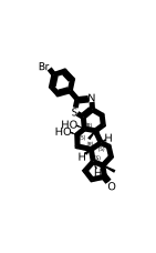 C[C@]12CC[C@H]3[C@@H](C[C@H](O)[C@@]4(O)c5sc(-c6ccc(Br)cc6)nc5CC[C@]34C)[C@@H]1CCC2=O